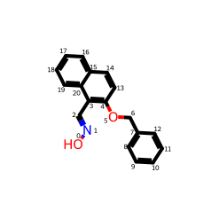 O/N=C/c1c(OCc2ccccc2)ccc2ccccc12